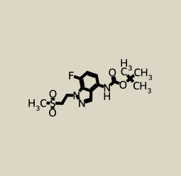 CC(C)(C)OC(=O)Nc1ccc(F)c2c1cnn2CCS(C)(=O)=O